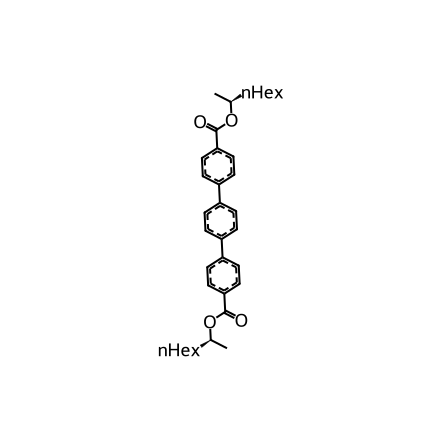 CCCCCC[C@H](C)OC(=O)c1ccc(-c2ccc(-c3ccc(C(=O)O[C@@H](C)CCCCCC)cc3)cc2)cc1